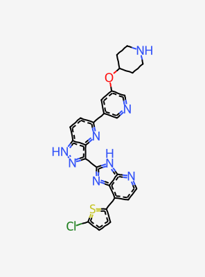 Clc1ccc(-c2ccnc3[nH]c(-c4n[nH]c5ccc(-c6cncc(OC7CCNCC7)c6)nc45)nc23)s1